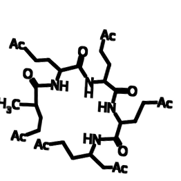 CC(=O)CCC(CC(C)=O)NC(=O)C(CCC(C)=O)NC(=O)C(CCC(C)=O)NC(=O)C(CCC(C)=O)NC(=O)C(C)CCC(C)=O